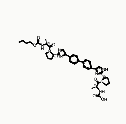 CCCCOC(=O)N[C@@H](C)C(=O)N1CCC[C@H]1c1ncc(-c2ccc(-c3ccc(-c4c[nH]c([C@@H]5CCCN5C(=O)[C@H](C)NC(=O)O)n4)cc3)cc2)[nH]1